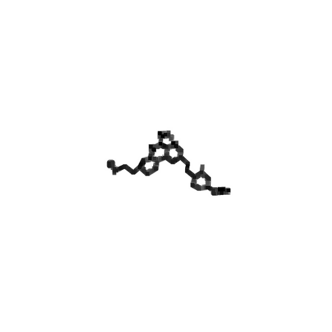 COc1ccc(CCc2cnc3c(N)nc4cc(CCP=O)ccc4c3c2)c(C)c1